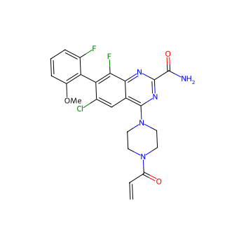 C=CC(=O)N1CCN(c2nc(C(N)=O)nc3c(F)c(-c4c(F)cccc4OC)c(Cl)cc23)CC1